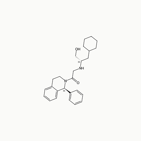 O=C(CN[C@H](CO)CC1CCCCC1)N1CCc2ccccc2[C@@H]1c1ccccc1